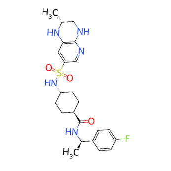 C[C@@H]1CNc2ncc(S(=O)(=O)N[C@H]3CC[C@H](C(=O)N[C@H](C)c4ccc(F)cc4)CC3)cc2N1